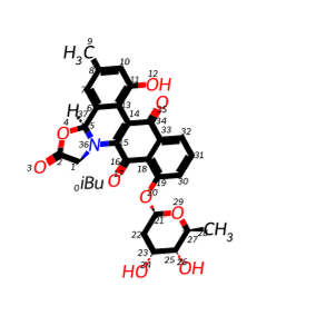 CC[C@H](C)[C@H]1C(=O)O[C@H]2c3cc(C)cc(O)c3C3=C(C(=O)c4c(O[C@H]5C[C@@H](O)[C@@H](O)[C@H](C)O5)cccc4C3=O)N12